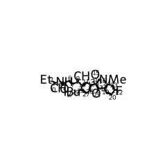 C=C(CC)NC(=O)/C=C/C(C)c1cc2c(C(=O)NC)c(-c3ccc(F)cc3)oc2cc1C(C)CC